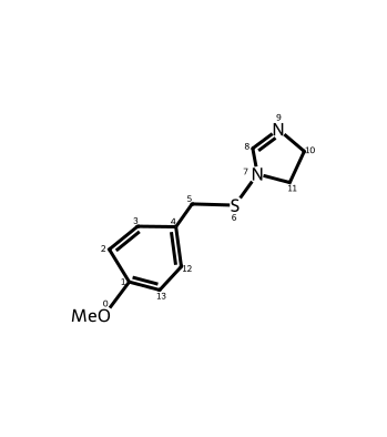 COc1ccc(CSN2C=NCC2)cc1